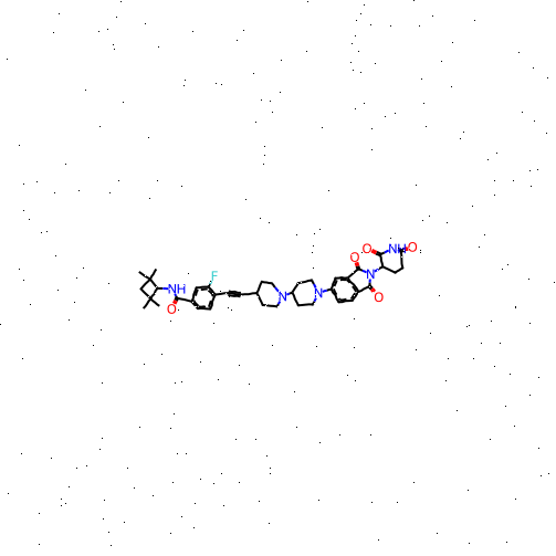 CC1(C)CC(C)(C)C1NC(=O)c1ccc(C#CC2CCN(C3CCN(c4ccc5c(c4)C(=O)N(C4CCC(=O)NC4=O)C5=O)CC3)CC2)c(F)c1